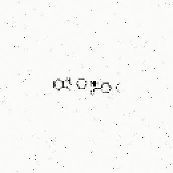 CC(C)c1ccc(C(=O)Nc2ccc(-c3nc4ccccc4s3)cc2)cc1